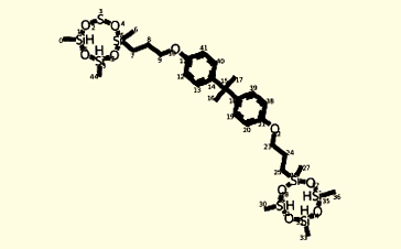 C[SiH]1OSO[Si](C)(CCCOc2ccc(C(C)(C)c3ccc(OCCC[Si]4(C)O[SiH](C)O[SiH](C)O[SiH](C)O4)cc3)cc2)O[SiH](C)O1